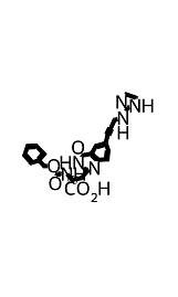 O=C(N[C@@H](Cc1nc2ccc(C#CCNC3=NCCN3)cc2c(=O)[nH]1)C(=O)O)OCc1ccccc1